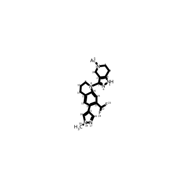 CC(=O)N1CCc2[nH]nc(N3CCCc4cc(-c5cnn(C)c5)c(C(F)F)cc43)c2C1